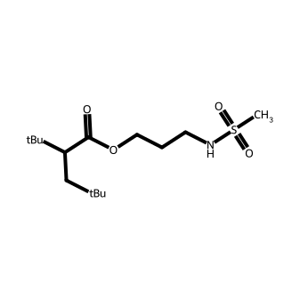 CC(C)(C)CC(C(=O)OCCCNS(C)(=O)=O)C(C)(C)C